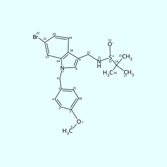 COc1ccc(Cn2cc(CN[S+]([O-])C(C)(C)C)c3ccc(Br)cc32)cc1